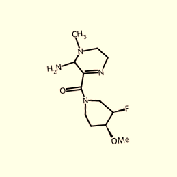 CO[C@H]1CCN(C(=O)C2=NCCN(C)C2N)C[C@H]1F